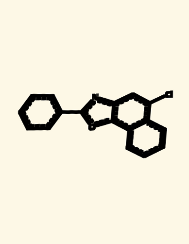 Clc1cc2nc(-c3ccccc3)oc2c2ccccc12